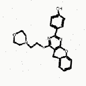 Oc1ccc(-c2nc3c(c(SCCN4CCOCC4)n2)Cc2ccccc2O3)cc1